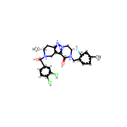 C[C@@H]1Cc2nn3c(c2CN1C(=O)c1ccc(Cl)c(Cl)c1)C(=O)N(Cc1ccc(C#N)cc1F)CC3